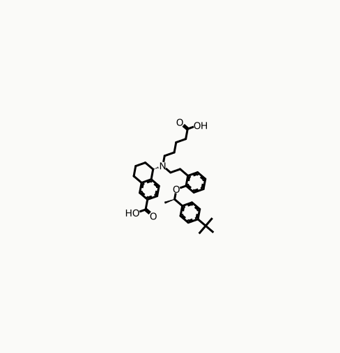 C[C@@H](Oc1ccccc1CCN(CCCCC(=O)O)[C@H]1CCCc2cc(C(=O)O)ccc21)c1ccc(C(C)(C)C)cc1